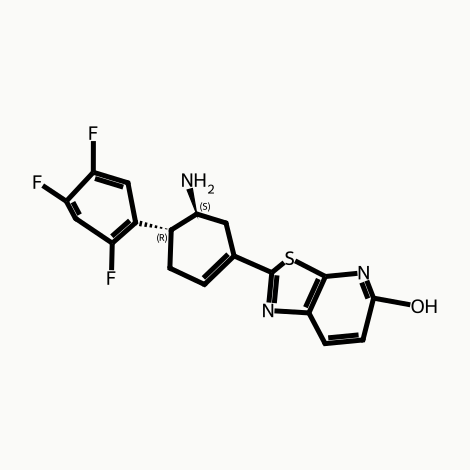 N[C@H]1CC(c2nc3ccc(O)nc3s2)=CC[C@@H]1c1cc(F)c(F)cc1F